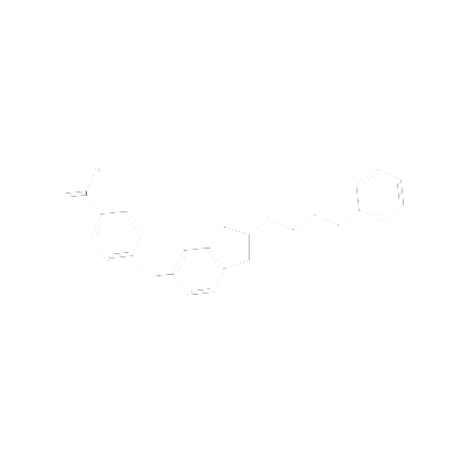 NC(=O)c1ccc(Oc2ccc3c(c2)CC(NCCCc2ccccc2)C3)nc1